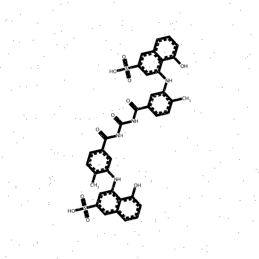 Cc1ccc(C(=O)NC(=O)NC(=O)c2ccc(C)c(Nc3cc(S(=O)(=O)O)cc4cccc(O)c34)c2)cc1Nc1cc(S(=O)(=O)O)cc2cccc(O)c12